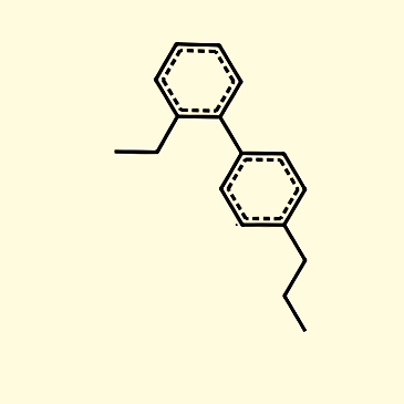 CCCc1[c]cc(-c2ccccc2CC)cc1